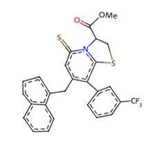 COC(=O)C1CSc2c(-c3cccc(C(F)(F)F)c3)c(Cc3cccc4ccccc34)cc(=S)n21